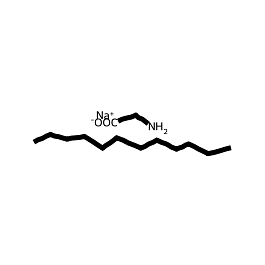 CCCCCCCCCCCC.NCC(=O)[O-].[Na+]